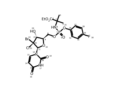 CCOC(=O)C(C)(C)N[P@@](=O)(OC[C@H]1O[C@@H](n2ccc(=O)[nH]c2=O)[C@](Cl)(Br)[C@@H]1O)Oc1ccc(F)cc1